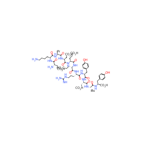 CC[C@H](C)[C@H](NC(=O)[C@H](CC(=O)O)NC(=O)[C@H](Cc1ccc(O)cc1)NC(=O)[C@H](CCCNC(=N)N)NC(=O)[C@H](CCC(=O)O)NC(=O)[C@H](CCC(=O)O)NC(=O)[C@H](CC(=O)O)NC(=O)[C@@H](NC(=O)[C@H](CCCCN)NC(=O)[C@@H](N)CC(=O)O)C(C)C)C(=O)N[C@@H](Cc1ccc(O)cc1)C(=O)O